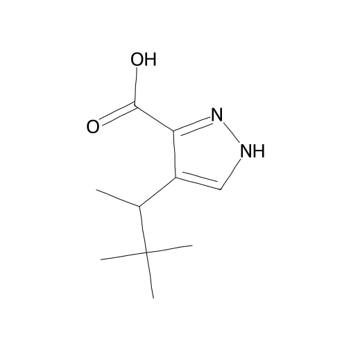 CC(c1c[nH]nc1C(=O)O)C(C)(C)C